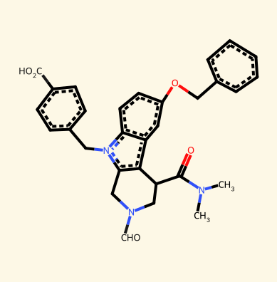 CN(C)C(=O)C1CN(C=O)Cc2c1c1cc(OCc3ccccc3)ccc1n2Cc1ccc(C(=O)O)cc1